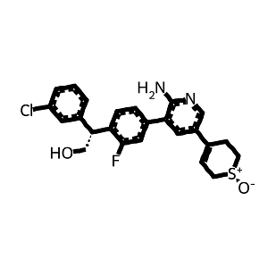 Nc1ncc(C2=CC[S@+]([O-])CC2)cc1-c1ccc([C@H](CO)c2cccc(Cl)c2)c(F)c1